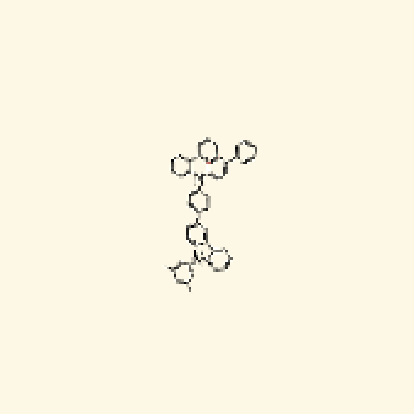 Cc1cc(C)cc(-n2c3ccccc3c3cc(-c4ccc(N(c5ccc(-c6ccccc6)cc5)c5ccccc5-c5ccccc5)cc4)ccc32)c1